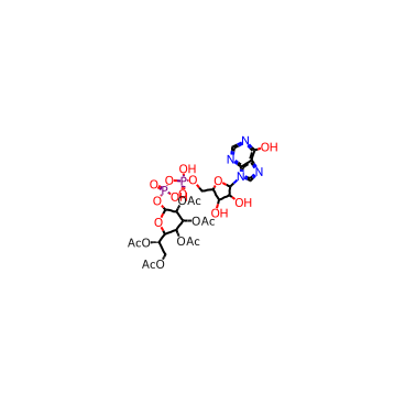 CC(=O)OC[C@@H](OC(C)=O)C1OC(OP(=O)(O)OP(=O)(O)OCC2OC(n3cnc4c(O)ncnc43)C(O)C2O)C(OC(C)=O)C(OC(C)=O)C1OC(C)=O